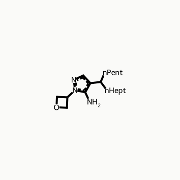 CCCCCCCC(CCCCC)c1cnn(C2COC2)c1N